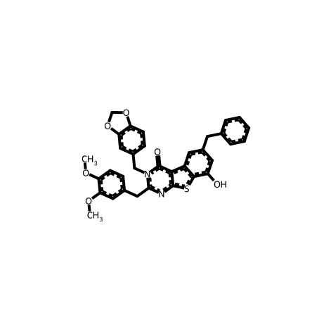 COc1ccc(Cc2nc3sc4c(O)cc(Cc5ccccc5)cc4c3c(=O)n2Cc2ccc3c(c2)OCO3)cc1OC